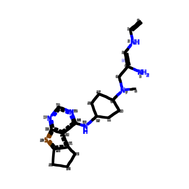 C=CN/C=C(\N)CN(C)C1CCC(Nc2ncnc3sc4c(c23)CCC4)CC1